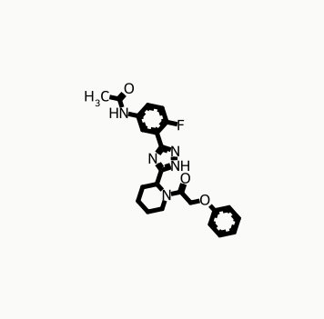 CC(=O)Nc1ccc(F)c(-c2n[nH]c(C3CCCCN3C(=O)COc3ccccc3)n2)c1